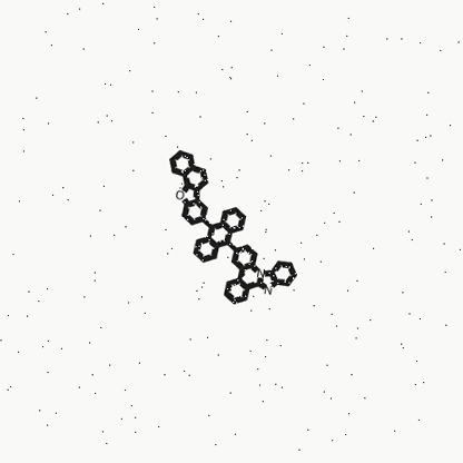 c1ccc2c(c1)ccc1c3cc(-c4c5ccccc5c(-c5ccc6c(c5)c5ccccc5c5nc7ccccc7n65)c5ccccc45)ccc3oc21